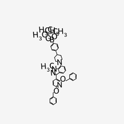 Cn1nc(-c2ccc(OCc3ccccc3)nc2OCc2ccccc2)c2cccc(N3CCC(c4ccc(B5OC(C)(C)C(C)(C)O5)cc4)CC3)c21